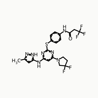 Cc1cc(Nc2cc(N3CCC(F)(F)C3)nc(Sc3ccc(NC(=O)CC(F)(F)F)cc3)n2)[nH]n1